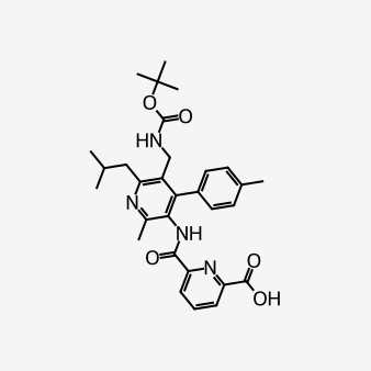 Cc1ccc(-c2c(CNC(=O)OC(C)(C)C)c(CC(C)C)nc(C)c2NC(=O)c2cccc(C(=O)O)n2)cc1